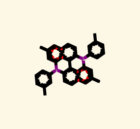 Cc1cccc(P(c2cccc(C)c2)c2ccc3c(c2-c2c(P(c4cccc(C)c4)c4cccc(C)c4)ccc4c2OCO4)OCO3)c1